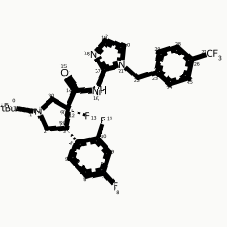 CC(C)(C)N1C[C@@H](c2ccc(F)cc2F)[C@](F)(C(=O)Nc2nccn2Cc2c[c]c(C(F)(F)F)cc2)C1